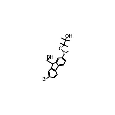 B=CC1c2cc(Br)ccc2-c2ccc(B(C)OC(C)(C)C(C)(C)O)cc21